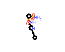 NS(=O)(=O)c1ccccc1S(=O)(=O)NC(=O)c1ccc(C#CC2CCCC2)nc1